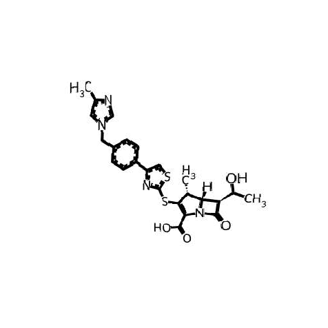 Cc1cn(Cc2ccc(-c3csc(SC4=C(C(=O)O)N5C(=O)[C@H](C(C)O)[C@H]5[C@H]4C)n3)cc2)cn1